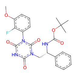 COc1cccc(-n2c(=O)[nH]c(=O)n(C[C@H](NC(=O)OC(C)(C)C)c3ccccc3)c2=O)c1F